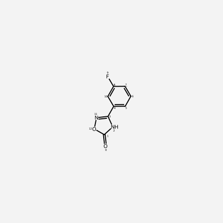 O=c1[nH]c(-c2cc[c]c(F)c2)no1